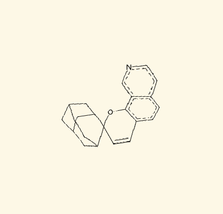 C1=CC2(Oc3c1ccc1ccncc31)C1CC3CC(C1)CC2C3